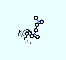 C=C1/C(=C\C=C/C)c2c(ccc3c2ccc2c4ccccc4n(-c4ccc(-c5ccc6c(c5)c5ccccc5n6-c5ccccc5)cc4)c32)C1(C)C